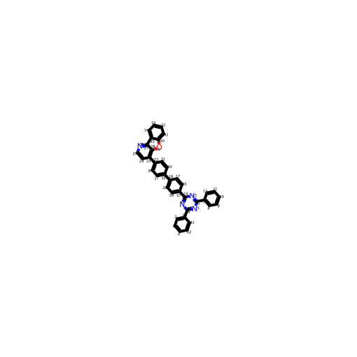 c1ccc(-c2nc(-c3ccccc3)nc(-c3ccc(-c4ccc(-c5ccnc6c5oc5ccccc56)cc4)cc3)n2)cc1